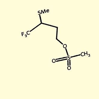 CSC(CCOS(C)(=O)=O)C(F)(F)F